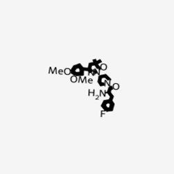 COc1ccc(C2=NN(C3CCN(C(=O)[C@H](N)Cc4ccc(F)cc4)CC3)C(=O)C(C)(C)C2)cc1OC